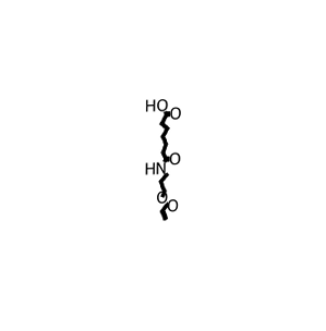 C=CC(=O)OCCCNC(=O)CCCCCC(=O)O